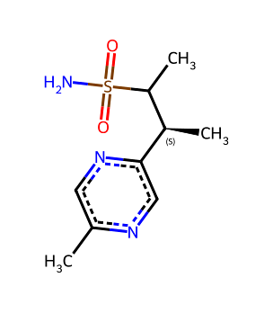 Cc1cnc([C@H](C)C(C)S(N)(=O)=O)cn1